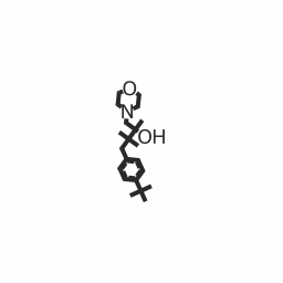 CC(C)(C)c1ccc(CC(C)(C)C(C)(O)CN2CCOCC2)cc1